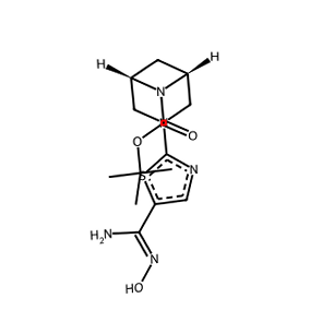 CC(C)(C)OC(=O)N1[C@@H]2C[C@H]1CN(c1ncc(/C(N)=N/O)s1)C2